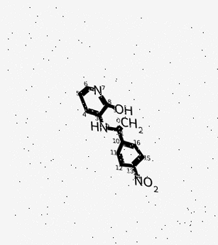 C=C(Nc1cccnc1O)c1ccc([N+](=O)[O-])cc1